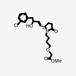 COC(=O)COCCCCN1C(=O)CC[C@@H]1C=CC(O)Cc1cccc(Cl)c1